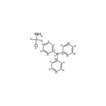 CC(C)(N)Cl.c1ccc(P(c2ccccc2)c2ccccc2)cc1